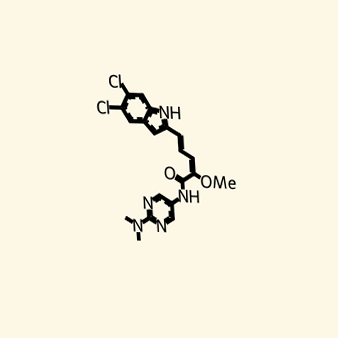 CO/C(=C/C=C/c1cc2cc(Cl)c(Cl)cc2[nH]1)C(=O)Nc1cnc(N(C)C)nc1